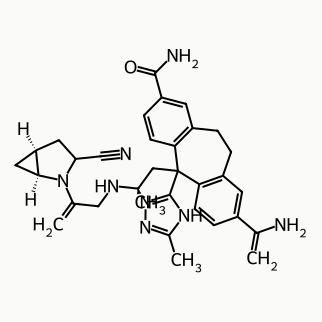 C=C(N)c1ccc2c(c1)CCc1cc(C(N)=O)ccc1C2(C[C@@H](C)NCC(=C)N1C(C#N)C[C@@H]2C[C@@H]21)c1nnc(C)[nH]1